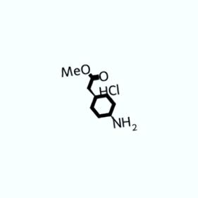 COC(=O)C[C@H]1CC[C@H](N)CC1.Cl